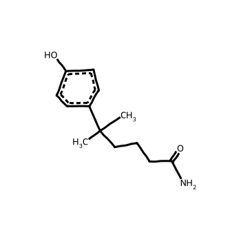 CC(C)(CCCC(N)=O)c1ccc(O)cc1